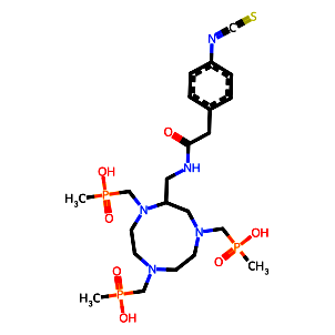 CP(=O)(O)CN1CCN(CP(C)(=O)O)CC(CNC(=O)Cc2ccc(N=C=S)cc2)N(CP(C)(=O)O)CC1